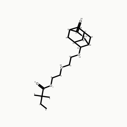 CCC(C)(C)C(=O)OCCOCCOC1C2CC3CC(C2)C(=O)OC1C3